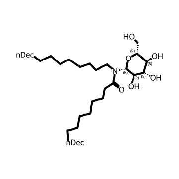 CCCCCCCCCCCCCCCCCCN(C(=O)CCCCCCCCCCCCCCCCC)[C@@H]1O[C@H](CO)[C@@H](O)[C@H](O)[C@H]1O